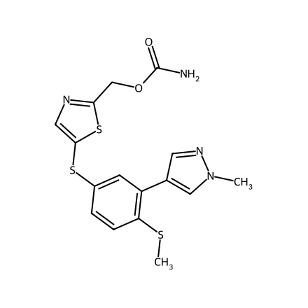 CSc1ccc(Sc2cnc(COC(N)=O)s2)cc1-c1cnn(C)c1